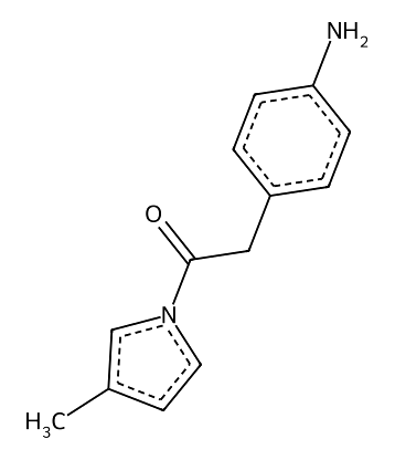 Cc1ccn(C(=O)Cc2ccc(N)cc2)c1